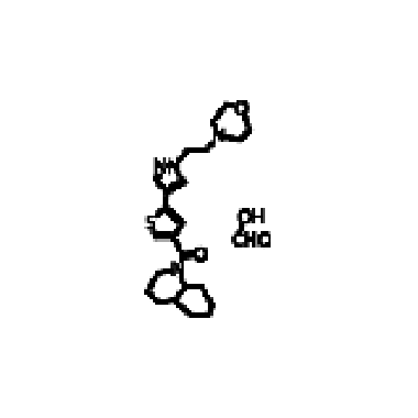 O=C(c1csc(-c2cnn(CCN3CCOCC3)c2)c1)N1CCCC2CCCCC21.O=CO